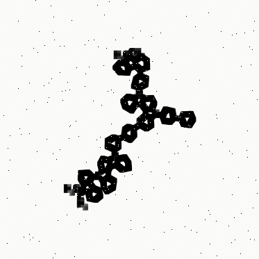 CC1(C)c2ccccc2-c2c(-c3ccc(-n4c5ccccc5c5c6c7cc(-c8ccc(-c9cccc(-n%10c%11ccccc%11c%11c%12c%13ccccc%13n(-c%13cccc%14c%13-c%13ccccc%13C%14(C)C)c%12ccc%11%10)c9)cc8)ccc7n(-c7ccc(-c8ccccc8)cc7)c6ccc54)cc3)cccc21